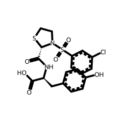 O=C(O)[C@H](Cc1ccc(O)cc1)NC(=O)[C@@H]1SCCN1S(=O)(=O)c1cccc(Cl)c1